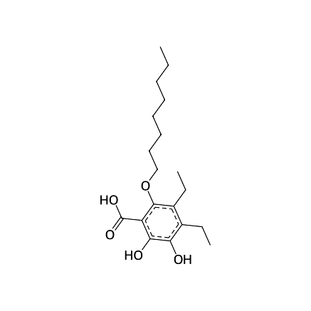 CCCCCCCCOc1c(CC)c(CC)c(O)c(O)c1C(=O)O